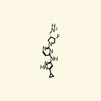 NC[C@H]1CN(c2nccc(Nc3cc(C4CC4)[nH]n3)n2)C[C@H]1F